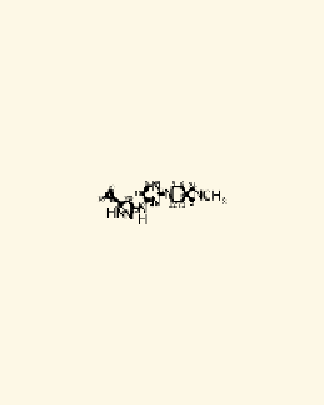 CN1CC2(CCN(c3nccc(NC4=NNC(C5CC5)C4)n3)CC2)C1